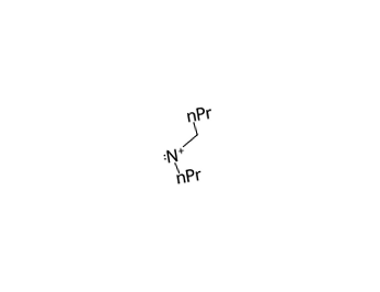 CCCC[N+]CCC